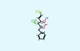 COB(Cc1ccccc1)C(SCl)[C@@H](/C=C/S)OI